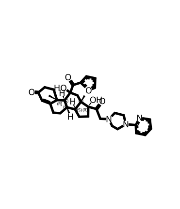 C[C@]12CCC(=O)C=C1CC[C@@H]1[C@@H]2C(O)(C(=O)c2ccco2)C[C@@]2(C)[C@H]1CC[C@]2(O)C(=O)CN1CCN(c2ccccn2)CC1